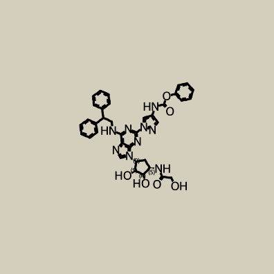 O=C(CO)N[C@H]1C[C@@H](n2cnc3c(NCC(c4ccccc4)c4ccccc4)nc(-n4cc(NC(=O)Oc5ccccc5)cn4)nc32)[C@H](O)[C@@H]1O